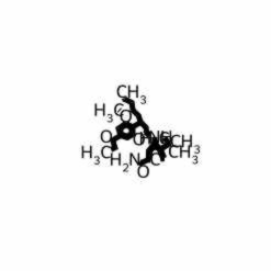 CCCCCC(CC(=O)Nc1cc(C(N)=O)ccc1C(C)(C)C)c1ccc(C(=O)CC)cc1OC